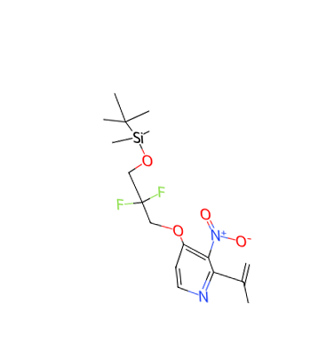 C=C(C)c1nccc(OCC(F)(F)CO[Si](C)(C)C(C)(C)C)c1[N+](=O)[O-]